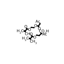 C=C(C)C(=O)OCCC(C(C)=O)C(=O)O.C=C(C)C(=O)OCCOC(=O)CC(C)=O